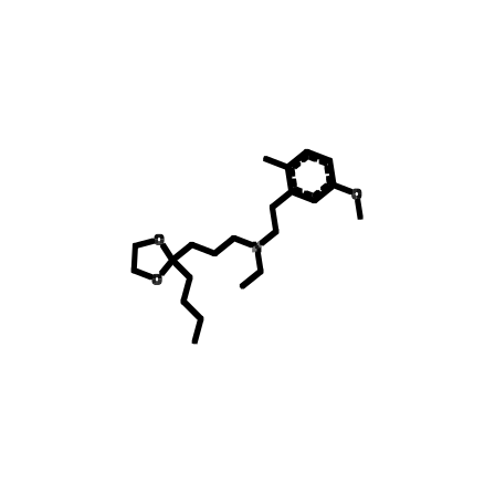 CCCCC1(CCCN(CC)CCc2cc(OC)ccc2C)OCCO1